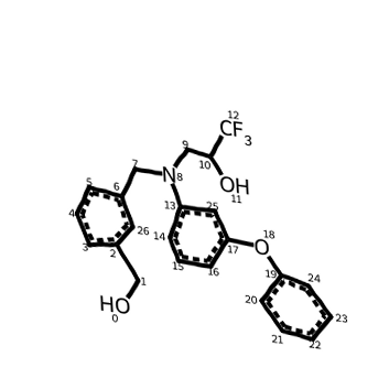 OCc1cccc(CN(CC(O)C(F)(F)F)c2cccc(Oc3ccccc3)c2)c1